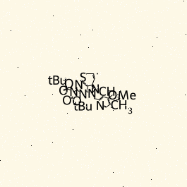 COc1c(C)cnc(Cn2nc3c4c(nc(N(C(=O)OC(C)(C)C)C(=O)OC(C)(C)C)nc42)SC[C]=C3)c1C